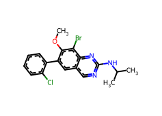 COc1c(-c2ccccc2Cl)cc2cnc(NC(C)C)nc2c1Br